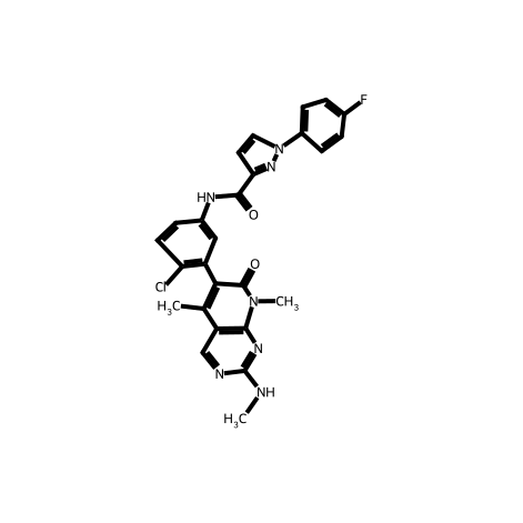 CNc1ncc2c(C)c(-c3cc(NC(=O)c4ccn(-c5ccc(F)cc5)n4)ccc3Cl)c(=O)n(C)c2n1